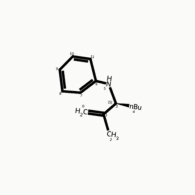 C=C(C)[C@H](CCCC)Nc1ccccc1